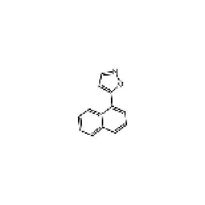 c1ccc2c(-c3ccno3)cccc2c1